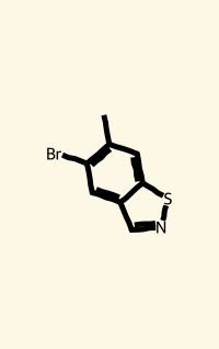 Cc1cc2sncc2cc1Br